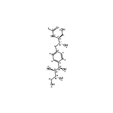 CC(=O)N[C@@H](CO)[C@H](O)Cc1cnc([C@@H](O)[C@H](O)[C@H](O)CO)cn1